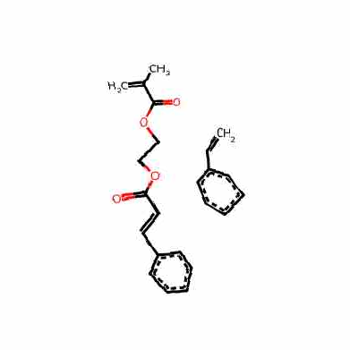 C=C(C)C(=O)OCCOC(=O)C=Cc1ccccc1.C=Cc1ccccc1